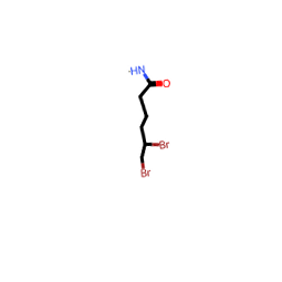 [NH]C(=O)CCCC(Br)CBr